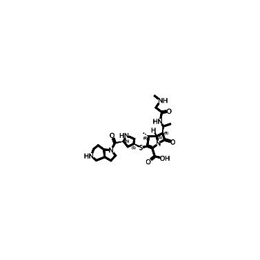 CNCC(=O)NC(C)[C@H]1C(=O)N2C(C(=O)O)=C(S[C@@H]3CN[C@H](C(=O)N4CCC5CNCCC54)C3)[C@H](C)[C@H]12